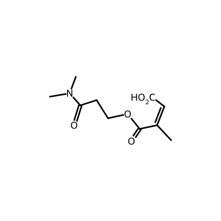 CC(=CC(=O)O)C(=O)OCCC(=O)N(C)C